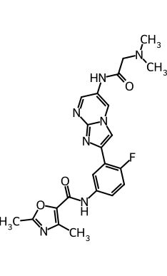 Cc1nc(C)c(C(=O)Nc2ccc(F)c(-c3cn4cc(NC(=O)CN(C)C)cnc4n3)c2)o1